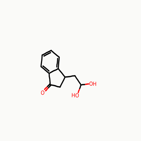 O=C1CC(CC(O)O)c2ccccc21